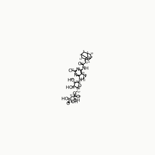 O=C(CC12CC3CC(CC(C3)C1)C2)Nc1nc(Cl)nc2c1ncn2[C@@H]1O[C@H](COP(=O)(O)CP(=O)(O)O)C(O)C1O